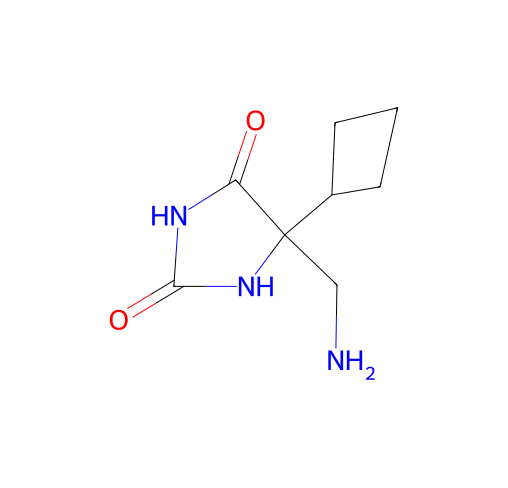 NCC1(C2CCC2)NC(=O)NC1=O